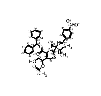 CC(=O)OC(CO)C1=C(C(=O)OC(c2ccccc2)c2ccccc2)N2C(=O)[C@@](N=Cc3ccc([N+](=O)[O-])cc3)(C(C)C)[C@H]2SC1